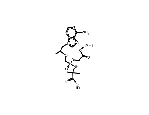 CCCCCOC(=O)COP(=O)(COC(C)Cn1cnc2c(N)ncnc21)NC(C)(C)C(=O)OC(C)C